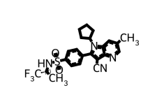 Cc1cnc2c(C#N)c(-c3ccc(S(=O)(=O)N[C@H](C)C(F)(F)F)cc3)n(C3CCCC3)c2c1